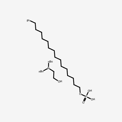 CC(C)CCCCCCCCCCCCCCCOP(=O)(O)O.CCCCN(CCO)CCCC